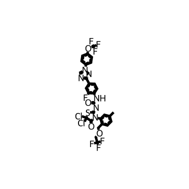 Cc1ccc(COCC(F)(F)F)c(N2C(=O)C(Cl)(Cl)S/C2=N\C(=O)Nc2ccc(-c3ncn(-c4ccc(OC(F)(F)F)cc4)n3)cc2F)c1